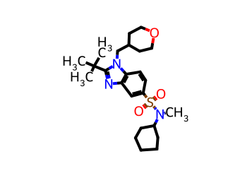 CN(C1CCCCC1)S(=O)(=O)c1ccc2c(c1)nc(C(C)(C)C)n2CC1CCOCC1